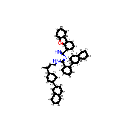 C/C(=C/CN/C(=N\C(=N)c1cccc2c1oc1ccccc12)c1ccccc1-c1ccc2ccccc2c1)c1ccc(-c2ccc3ccccc3c2)cc1